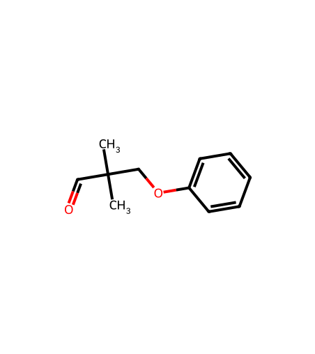 CC(C)(C=O)COc1ccccc1